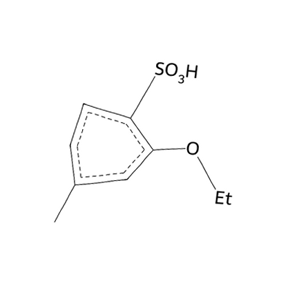 CCOc1cc(C)ccc1S(=O)(=O)O